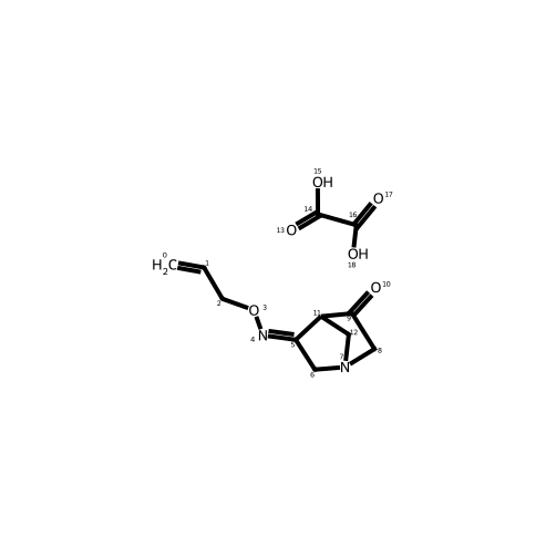 C=CCON=C1CN2CC(=O)C1C2.O=C(O)C(=O)O